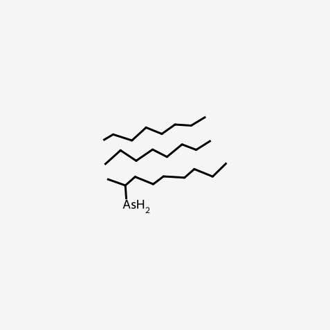 CCCCCCCC.CCCCCCCC.CCCCCCCC(C)[AsH2]